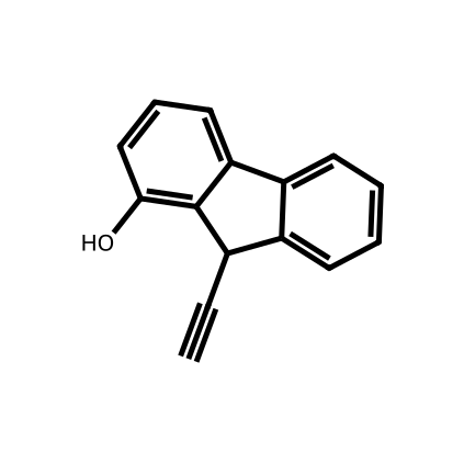 C#CC1c2ccccc2-c2cccc(O)c21